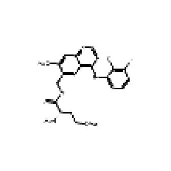 CN[C@@H](CCOC)C(=O)NCc1cc2c(Nc3cccc(Cl)c3F)ncnc2cc1OC